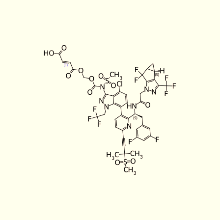 CC(C)(C#Cc1ccc(-c2ccc(Cl)c3c(N(C(=O)OCOC(=O)/C=C/C(=O)O)S(C)(=O)=O)nn(CC(F)(F)F)c23)c([C@H](Cc2cc(F)cc(F)c2)NC(=O)Cn2nc(C(F)(F)F)c3c2C(F)(F)C2C[C@H]32)n1)S(C)(=O)=O